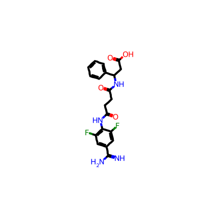 N=C(N)c1cc(F)c(NC(=O)CCC(=O)NC(CC(=O)O)c2ccccc2)c(F)c1